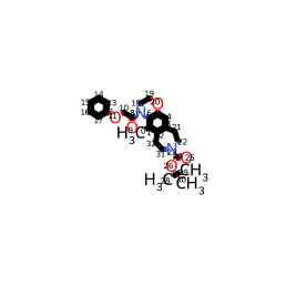 Cc1c2c(cc3c1N(C(=O)COc1ccccc1)CCO3)CCN(C(=O)OC(C)(C)C)CC2